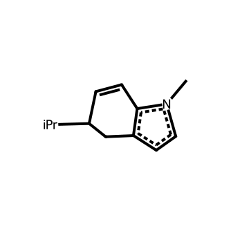 CC(C)C1C=Cc2c(ccn2C)C1